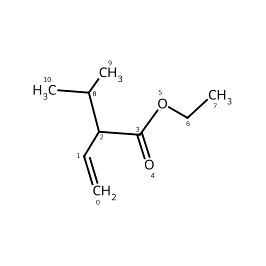 C=CC(C(=O)OCC)C(C)C